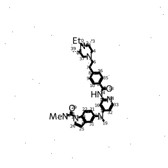 CCN1[C@H](C)CN(CCc2ccc(C(=O)Nc3cc(N(C)c4ccc5c(ccn5C(=O)NC)c4)ccn3)cc2)C[C@@H]1C